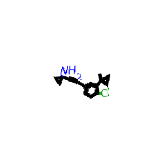 CC1(c2cc(C#CC3(N)CC3)ccc2Cl)CC1